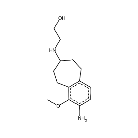 COc1c(N)ccc2c1CCC(NCCO)CC2